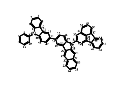 c1ccc(-n2c3ccccc3c3cc(-c4ccc5c(c4)c4cc6ccccc6cc4n5-c4cc5cccc6c5c(n4)-c4cccnc4-6)ccc32)cc1